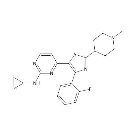 CN1CCC(c2nc(-c3ccccc3F)c(-c3ccnc(NC4CC4)n3)s2)CC1